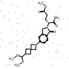 COC(=O)CC[C@@H](C(N)=O)N1Cc2cc(N3CC4(CC(C(OC)OC)C4)C3)ccc2C1=O